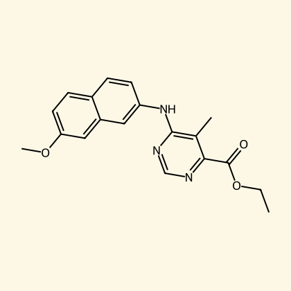 CCOC(=O)c1ncnc(Nc2ccc3ccc(OC)cc3c2)c1C